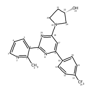 Cc1ncccc1-c1nc(-c2ccc(C(F)(F)F)cc2)cc(N2CC[C@H](O)C2)n1